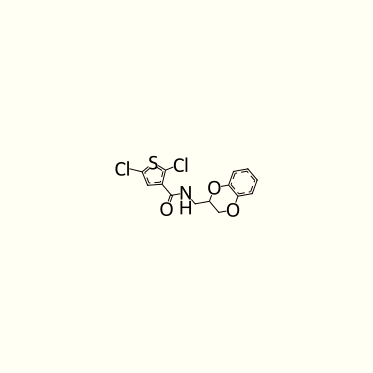 O=C(NCC1COc2ccccc2O1)c1cc(Cl)sc1Cl